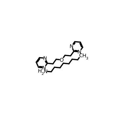 CCCCCCCCN.c1cnc(CCOCCc2ncccn2)nc1